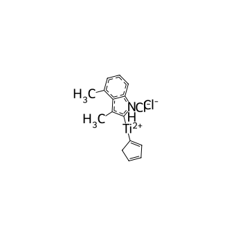 Cc1cccc2[nH][c]([Ti+2][C]3=CC=CC3)c(C)c12.[Cl-].[Cl-]